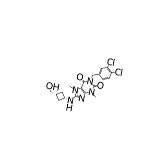 Cn1c(N[C@H]2C[C@@H](CO)C2)nc2c1c(=O)n(Cc1ccc(Cl)c(Cl)c1)c(=O)n2C